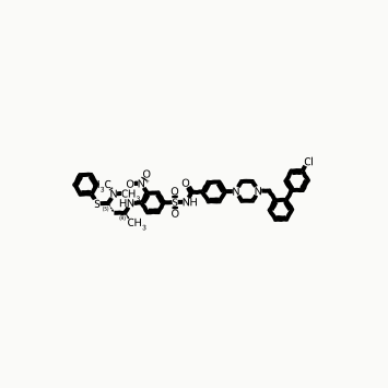 C[C@H](C[C@H](Sc1ccccc1)N(C)C)Nc1ccc(S(=O)(=O)NC(=O)c2ccc(N3CCN(Cc4ccccc4-c4ccc(Cl)cc4)CC3)cc2)cc1[N+](=O)[O-]